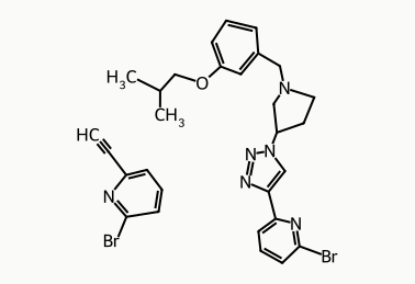 C#Cc1cccc(Br)n1.CC(C)COc1cccc(CN2CCC(n3cc(-c4cccc(Br)n4)nn3)C2)c1